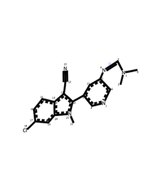 CN(C)/C=N\c1cncc(-c2c(C#N)c3ccc(Cl)cc3n2C)c1